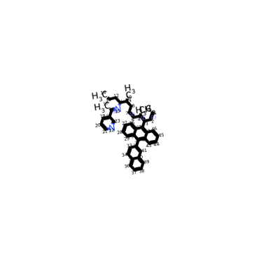 C\C=C/C(=C(C)/C=C\CC(C)C(CCC)/N=C(\C)c1cccnc1)c1c2ccccc2c(-c2ccc3ccccc3c2)c2ccccc12